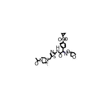 CC(=O)N1CCN(Cc2cnc(NC(=O)/C(=N/O[C@@H]3CCOC3)c3ccc(S(=O)(=O)C4CC4)cc3)s2)[C@H](C)C1